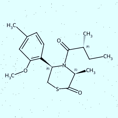 CC[C@@H](C)C(=O)N1[C@@H](C)C(=O)SC[C@H]1c1ccc(C)cc1OC